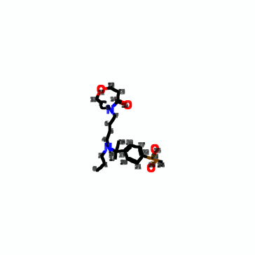 CCCN(CCCCN1CCOCCC1=O)C(C)(C)c1ccc(S(C)(=O)=O)cc1